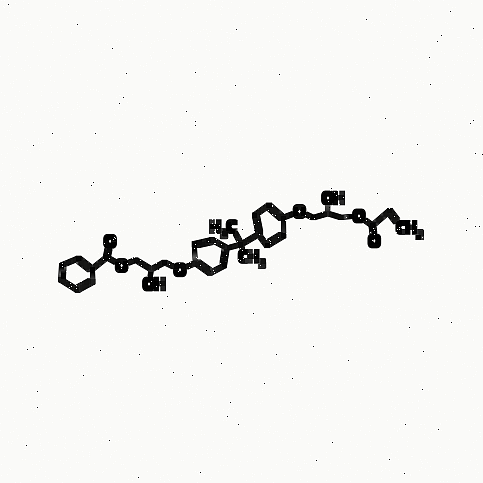 C=CC(=O)OCC(O)COc1ccc(C(C)(C)c2ccc(OCC(O)COC(=O)c3ccccc3)cc2)cc1